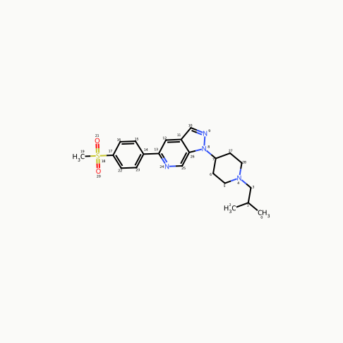 CC(C)CN1CCC(n2ncc3cc(-c4ccc(S(C)(=O)=O)cc4)ncc32)CC1